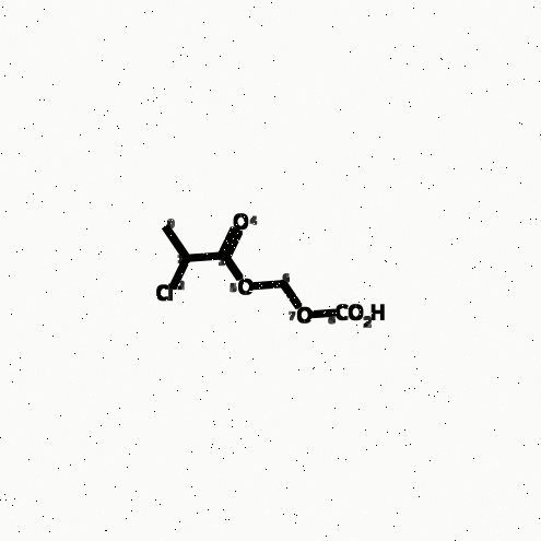 CC(Cl)C(=O)OCOC(=O)O